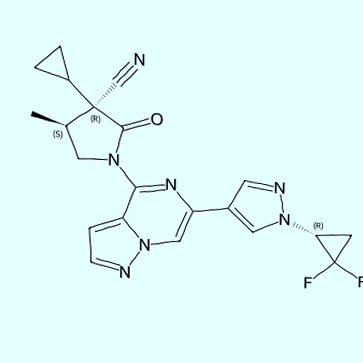 C[C@@H]1CN(c2nc(-c3cnn([C@@H]4CC4(F)F)c3)cn3nccc23)C(=O)[C@]1(C#N)C1CC1